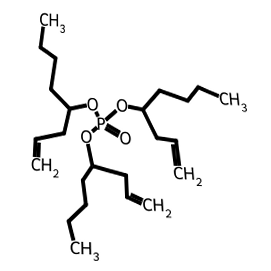 C=CCC(CCCC)OP(=O)(OC(CC=C)CCCC)OC(CC=C)CCCC